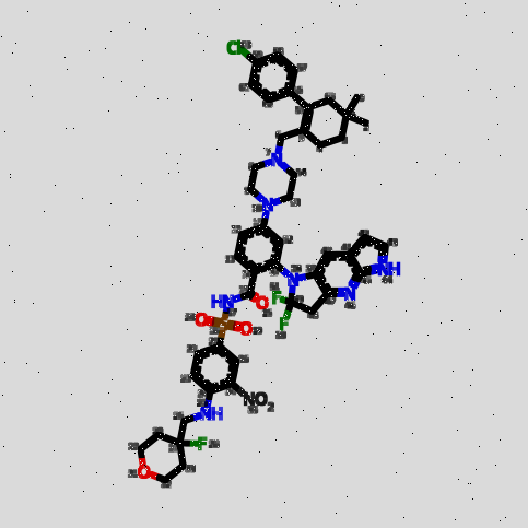 CC1(C)CCC(CN2CCN(c3ccc(C(=O)NS(=O)(=O)c4ccc(NCC5(F)CCOCC5)c([N+](=O)[O-])c4)c(N4c5cc6cc[nH]c6nc5CC4(F)F)c3)CC2)=C(c2ccc(Cl)cc2)C1